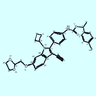 C#Cc1c(-c2ccc(NC(=O)OC(C)c3ccc(F)cc3)cc2)n(C2CCC2)c2cc(OCC3OCCO3)ccc12